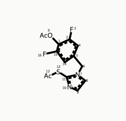 CC(=O)Oc1c(F)cc(Cn2ccnc2SC(C)=O)cc1F